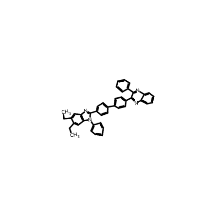 CCc1cc2nc(-c3ccc(-c4ccc(-c5nc6ccccc6nc5-c5ccccc5)cc4)cc3)n(-c3ccccc3)c2cc1CC